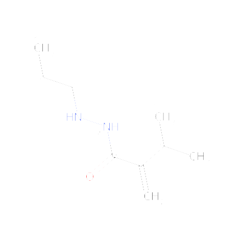 C=C(C(=O)NNCCC)C(C)C